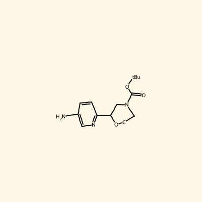 CC(C)(C)OC(=O)N1CCOC(c2ccc(N)cn2)C1